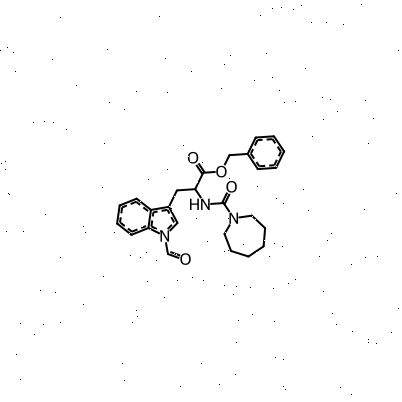 O=Cn1cc(CC(NC(=O)N2CCCCCC2)C(=O)OCc2ccccc2)c2ccccc21